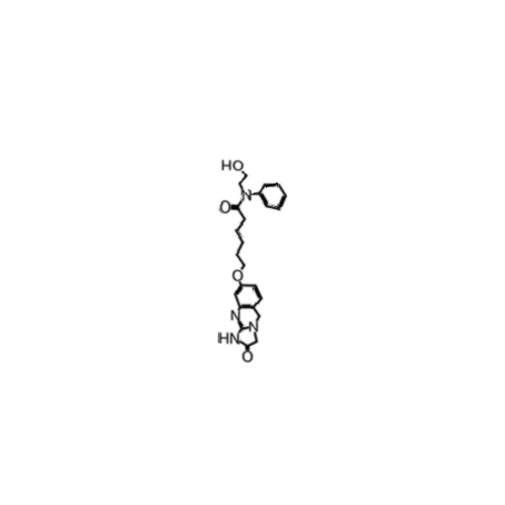 O=C1CN2Cc3ccc(OCCCCCC(=O)N(CCO)c4ccccc4)cc3N=C2N1